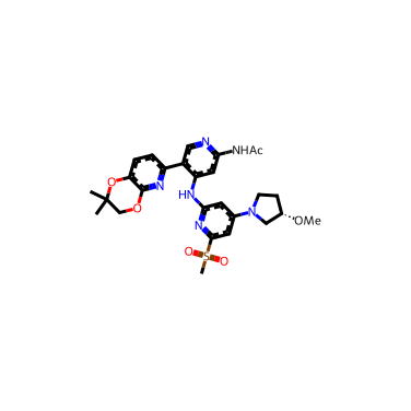 CO[C@H]1CCN(c2cc(Nc3cc(NC(C)=O)ncc3-c3ccc4c(n3)OCC(C)(C)O4)nc(S(C)(=O)=O)c2)C1